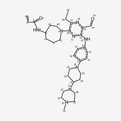 C=CC(=O)NC1CCCN(c2nc(Nc3ccc(N4CCC(N5CCN(C)CC5)CC4)cc3)c(C=O)nc2CC)CC1